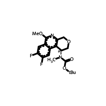 COc1nc2c(c3cc(F)c(F)cc13)[C@@H](N(C)C(=O)OC(C)(C)C)COC2